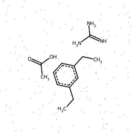 CC(=O)O.CCc1cccc(CC)c1.N=C(N)N